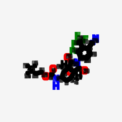 C[C@]12O[C@](C)(C[C@H]1NC(=O)OCC[Si](C)(C)C)[C@H]1C(=O)N(c3ccc(C#N)c(C(F)(F)F)c3F)C(=O)[C@H]12